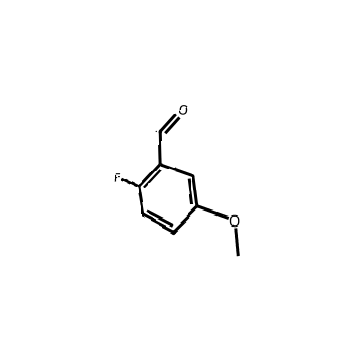 COc1ccc(F)c([C]=O)c1